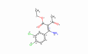 CCOC(=O)/C(C(C)=O)=C(/N)c1ccc(Cl)c(Cl)c1